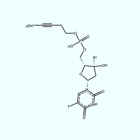 CCCCCCCCCCC#CCCOP(=O)(O)OC[C@H]1O[C@@H](n2cc(F)c(=O)[nH]c2=O)C[C@@]1(O)C(C)=O